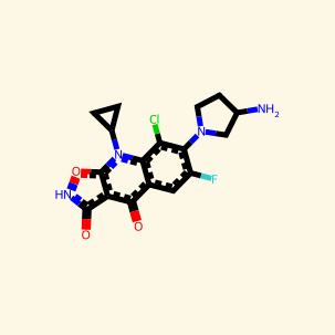 NC1CCN(c2c(F)cc3c(=O)c4c(=O)[nH]oc4n(C4CC4)c3c2Cl)C1